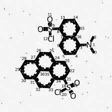 CN(C)c1cccc2c(S(=O)(=O)Cl)cccc12.O=S(=O)(Cl)c1ccc2ccc3cccc4ccc1c2c34